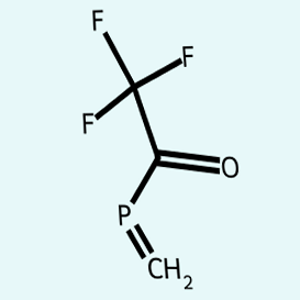 C=PC(=O)C(F)(F)F